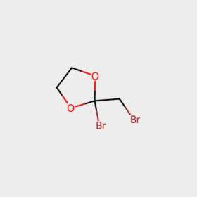 BrCC1(Br)OCCO1